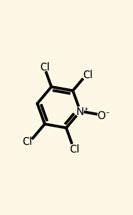 [O-][n+]1c(Cl)c(Cl)cc(Cl)c1Cl